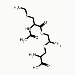 CCSCC(NC(C)=O)C(=O)OCC(C)SCC(N)C(=O)O